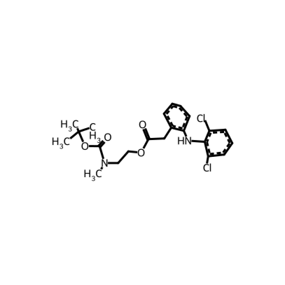 CN(CCOC(=O)Cc1ccccc1Nc1c(Cl)cccc1Cl)C(=O)OC(C)(C)C